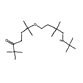 CC(C)(CCOC(C)(C)CCC(=O)C(C)(C)C)CNC(C)(C)C